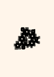 C=C(OC)c1ccc(CNC(=O)C(c2ccc(CN3N=C(c4ccccc4Cl)CCC3=O)cc2)C2CCCC2)cc1